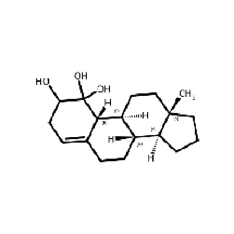 C[C@@]12CCC[C@H]1[C@@H]1CCC3=CCC(O)C(O)(O)[C@@H]3[C@H]1CC2